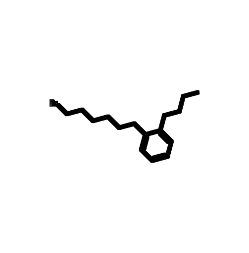 CCCCc1ccccc1CCCCCCBr